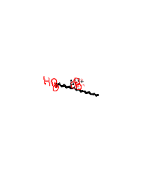 CCCCCCCCCCCCCCCCCC(=O)O.[Al+3].[O-]B([O-])[O-]